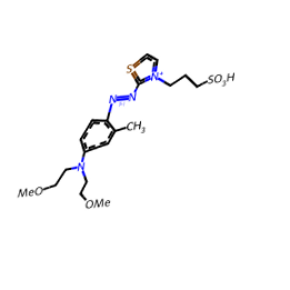 COCCN(CCOC)c1ccc(/N=N/c2scc[n+]2CCCS(=O)(=O)O)c(C)c1